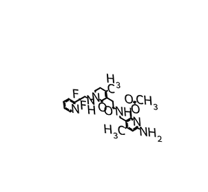 CC(=O)OCc1nc(N)cc(C)c1CNC(=O)CC1=C(C)CCN(NCC(F)(F)c2ccccn2)C1=O